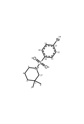 CC1(C)CCCN(S(=O)(=O)c2ccc(Br)cc2)C1